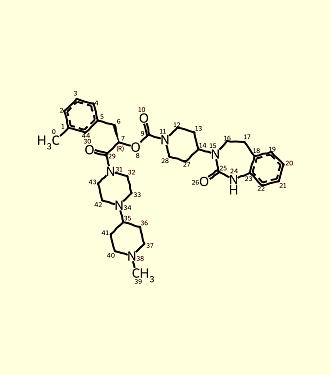 Cc1cccc(C[C@@H](OC(=O)N2CCC(N3CCc4ccccc4NC3=O)CC2)C(=O)N2CCN(C3CCN(C)CC3)CC2)c1